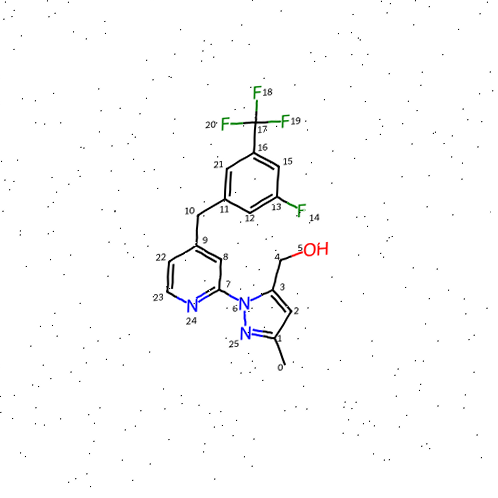 Cc1cc(CO)n(-c2cc(Cc3cc(F)cc(C(F)(F)F)c3)ccn2)n1